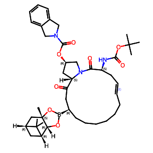 CC(C)(C)OC(=O)N[C@H]1C/C=C/CCCCCC[C@@H](B2O[C@@H]3[C@@H]4C[C@H](C[C@]3(C)O2)C4(C)C)CC(=O)[C@@H]2C[C@@H](OC(=O)N3Cc4ccccc4C3)CN2C1=O